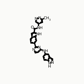 Cc1cc(NC(=O)c2cc3ccc(-c4nccc(Nc5ccc6[nH]ncc6c5)n4)cc3[nH]2)cnn1